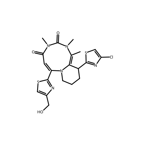 Cc1c2n(c(-c3nc(CO)cs3)cc(=O)n(C)c(=O)n1C)CCCC2c1nc(Cl)cs1